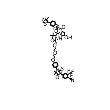 Cc1ncsc1-c1ccc(CNC(=O)[C@@H]2C[C@@H](O)CN2C(=O)[C@@H](NC(=O)COCCOCCOc2ccc(N3C(=S)N(c4ccc(C#N)c(C(F)(F)F)c4)C(=O)C3(C)C)cc2)C(C)(C)C)cc1